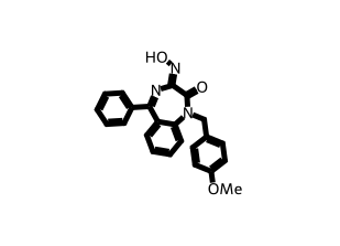 COc1ccc(Cn2c(=O)/c(=N/O)nc(-c3ccccc3)c3ccccc32)cc1